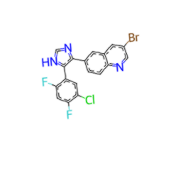 Fc1cc(F)c(-c2[nH]cnc2-c2ccc3ncc(Br)cc3c2)cc1Cl